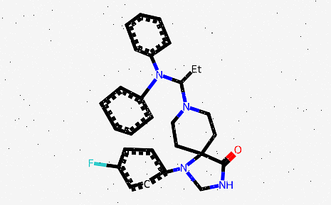 CCC(N1CCC2(CC1)C(=O)NCN2c1ccc(F)cc1)N(c1ccccc1)c1ccccc1